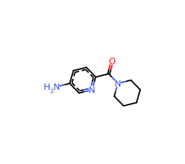 Nc1ccc(C(=O)N2CCCCC2)nc1